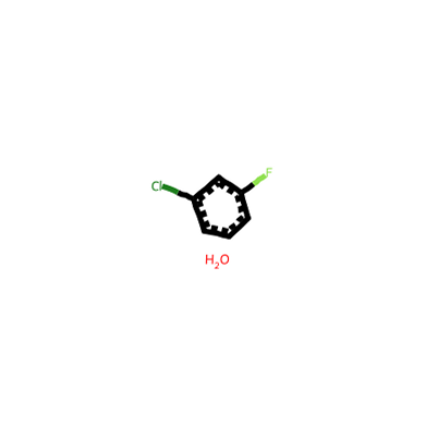 Fc1cccc(Cl)c1.O